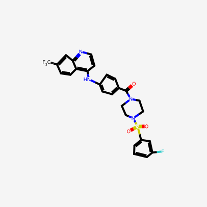 O=C(c1ccc(Nc2ccnc3cc(C(F)(F)F)ccc23)cc1)N1CCN(S(=O)(=O)c2cccc(F)c2)CC1